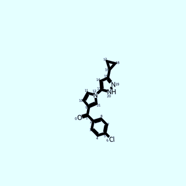 O=C(c1ccc(Cl)cc1)c1ccn(-c2cc(C3CC3)n[nH]2)c1